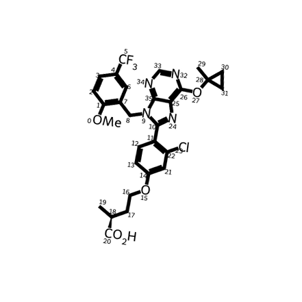 COc1ccc(C(F)(F)F)cc1Cn1c(-c2ccc(OCC[C@H](C)C(=O)O)cc2Cl)nc2c(OC3(C)CC3)ncnc21